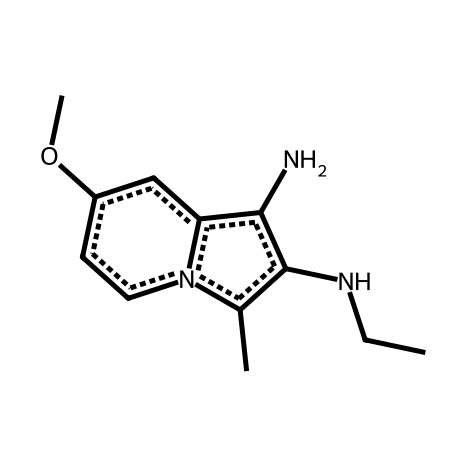 CCNc1c(N)c2cc(OC)ccn2c1C